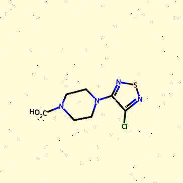 O=C(O)N1CCN(c2nsnc2Cl)CC1